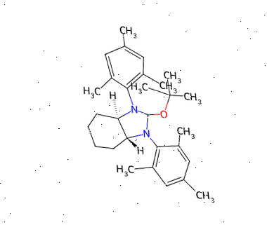 Cc1cc(C)c(N2C(OC(C)(C)C)N(c3c(C)cc(C)cc3C)[C@@H]3CCCC[C@H]32)c(C)c1